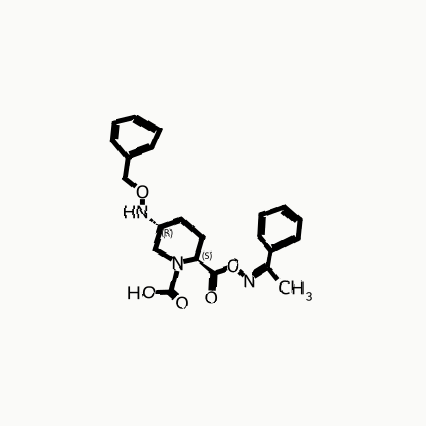 CC(=NOC(=O)[C@@H]1CC[C@@H](NOCc2ccccc2)CN1C(=O)O)c1ccccc1